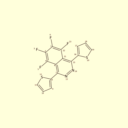 Fc1c(F)c(F)c2c(-c3cccs3)nnc(-c3cccs3)c2c1F